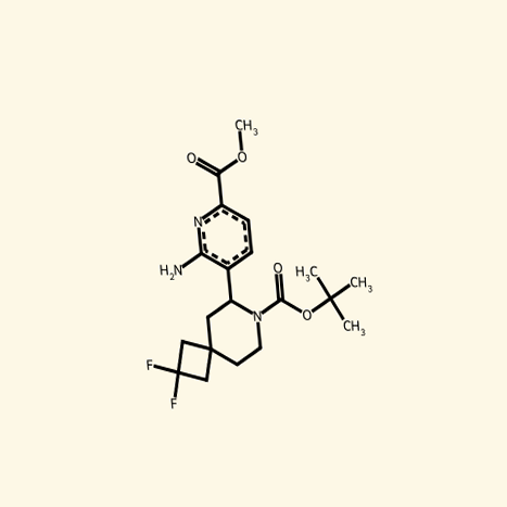 COC(=O)c1ccc(C2CC3(CCN2C(=O)OC(C)(C)C)CC(F)(F)C3)c(N)n1